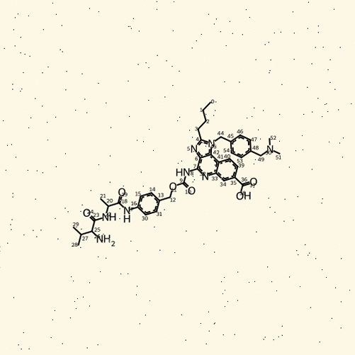 CCCCc1nc2c(NC(=O)OCc3ccc(NC(=O)C(C)NC(=O)C(N)C(C)C)cc3)nc3cc(C(=O)O)ccc3c2n1Cc1ccc(CN(C)C)cc1